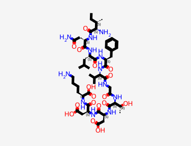 CC[C@H](C)[C@H](N)C(=O)N[C@@H](CC(N)=O)C(=O)N[C@@H](CC(C)C)C(=O)N[C@@H](Cc1ccccc1)C(=O)N[C@H](C(=O)NCC(=O)N[C@H](C(=O)N[C@@H](CC(=O)O)C(=O)N[C@@H](CC(=O)O)C(=O)N[C@@H](CCCCN)C(=O)O)[C@@H](C)O)C(C)C